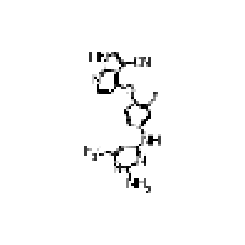 N#Cc1c[nH]c2nccc(Oc3ccc(Nc4cc(C(F)(F)F)nc(N)n4)cc3F)c12